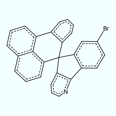 Brc1ccc2c(c1)C1(c3ccccc3-c3cccc4cccc1c34)c1cccnc1-2